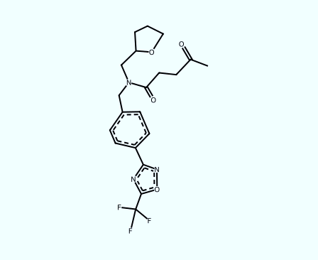 CC(=O)CCC(=O)N(Cc1ccc(-c2noc(C(F)(F)F)n2)cc1)CC1CCCO1